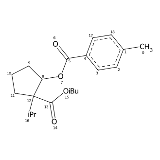 Cc1ccc(C(=O)OC2CCCC2(C(=O)OCC(C)C)C(C)C)cc1